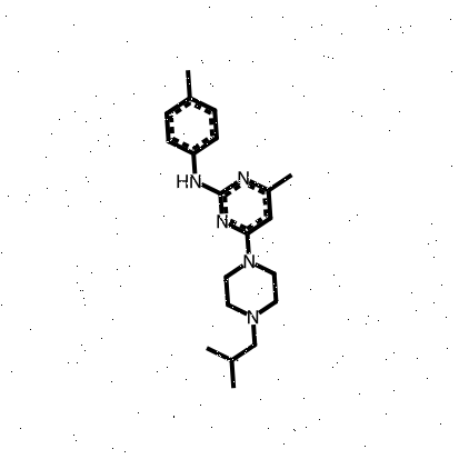 C[C](C)CN1CCN(c2cc(C)nc(Nc3ccc(C)cc3)n2)CC1